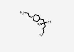 NCCN1CCC(CC(N)(O)CCCO)CC1